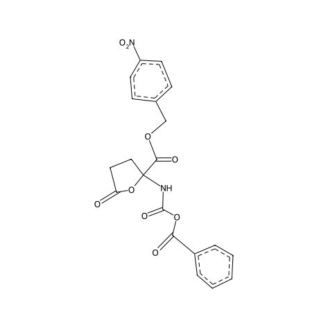 O=C1CCC(NC(=O)OC(=O)c2ccccc2)(C(=O)OCc2ccc([N+](=O)[O-])cc2)O1